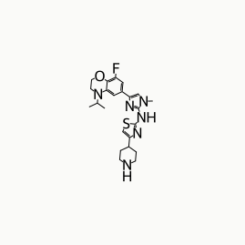 CC(C)N1CCOc2c(F)cc(-c3cn(C)c(Nc4nc(C5CCNCC5)cs4)n3)cc21